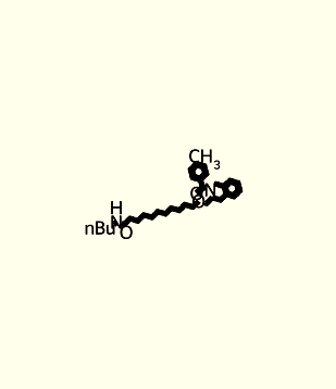 CCCCNC(=O)CCCCCCCCCCOCC1Cc2ccccc2CN1C(=O)c1ccc(C)cc1